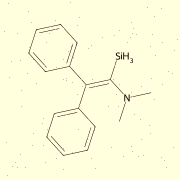 CN(C)C([SiH3])=C(c1ccccc1)c1ccccc1